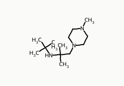 CN1CCN(CC(C)(C)NC(C)(C)C)CC1